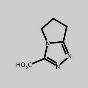 O=C(O)c1nnc2n1CCC2